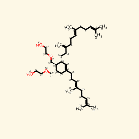 C=C(CC/C=C(\C)CCC=C(C)C)CC[C@@H]1C=C(CC/C=C(\C)CCC=C(C)C)C[C@H](COCCO)[C@H]1COCCO